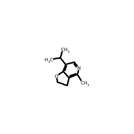 Cc1ncc(C(C)C)c2c1CCO2